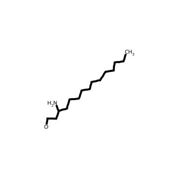 CCCCCCCCCCCCC(N)CC[O]